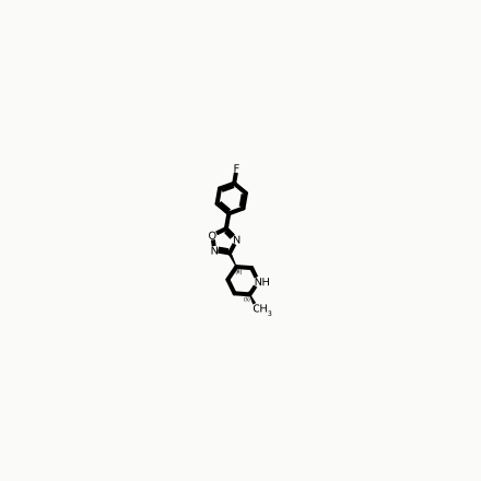 C[C@H]1CC[C@@H](c2noc(-c3ccc(F)cc3)n2)CN1